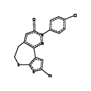 CCc1cc2c(s1)SCCc1cc(=O)n(-c3ccc(Cl)cc3)nc1-2